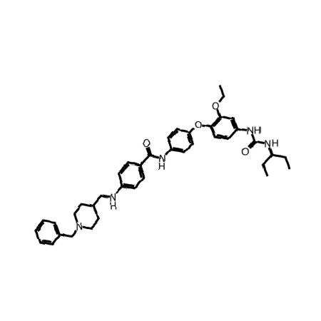 CCOc1cc(NC(=O)NC(CC)CC)ccc1Oc1ccc(NC(=O)c2ccc(NCC3CCN(Cc4ccccc4)CC3)cc2)cc1